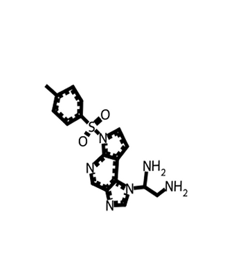 Cc1ccc(S(=O)(=O)n2ccc3c4c(cnc32)ncn4C(N)CN)cc1